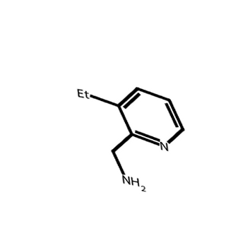 CCc1cccnc1CN